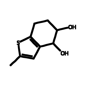 Cc1cc2c(s1)CCC(O)C2O